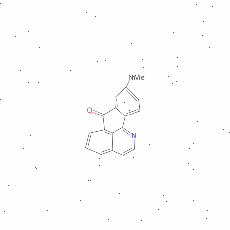 CNc1ccc2c(c1)C(=O)c1cccc3ccnc-2c13